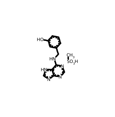 CS(=O)(=O)O.Oc1cccc(CNc2ncnc3nc[nH]c23)c1